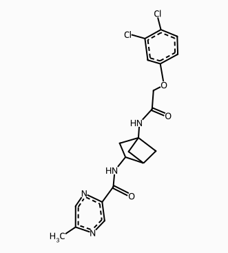 Cc1cnc(C(=O)NC2CC3(NC(=O)COc4ccc(Cl)c(Cl)c4)CC2C3)cn1